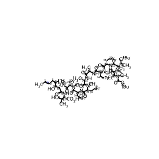 C/C=C/C[C@@H](C)[C@@H](O)[C@@H](C(=O)N[C@H](C(=O)O)[C@@H](C)O)N(C)C(=O)[C@H](C(C)C)N(C)C(=O)[C@H](CC(C)C)NC(=O)[C@H](CC(C)C)N(C)C(=O)[C@@H](C)NC(=O)[C@H](C)NC(=O)[C@H](CC(C)C)N(C)C(=O)[C@H](CC(C)C)NC(=O)[C@H](C(C)OC(C)(C)C)N(C)C(=O)[C@@H](CC)N(C)C(=O)OC(C)(C)C